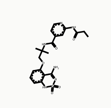 CCC(=O)Nc1cc(C(=O)NC(C)(C)COc2cccc3c2C(N)=NS(=O)(=O)N3)ccn1